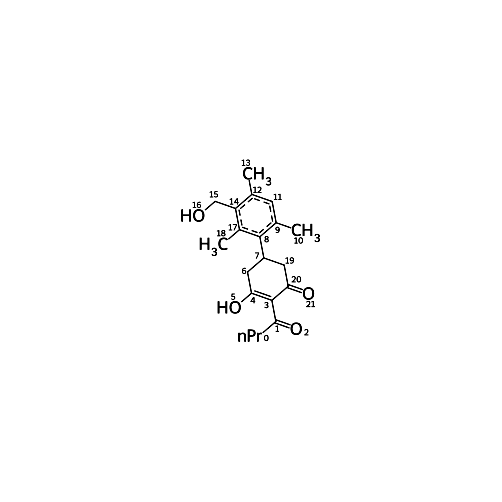 CCCC(=O)C1=C(O)CC(c2c(C)cc(C)c(CO)c2C)CC1=O